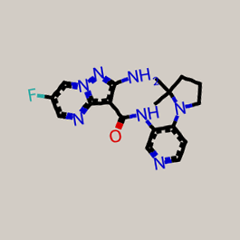 CC1(C)CCCN1c1ccncc1NC(=O)c1c(N)nn2cc(F)cnc12